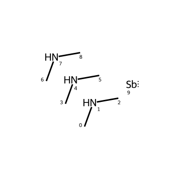 CNC.CNC.CNC.[Sb]